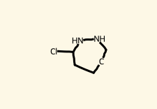 ClC1CCCCNN1